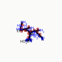 CC[C@H](NC(=O)CCNC(=O)CCN)C(=O)NCCC(=O)N[C@@H](CCC(N)=O)C(=O)NCCC(=O)N(C(=O)CCNC(=O)[C@H](CCC(N)=O)NC(=O)CCNC(=O)[C@@H](N)CCN=[N+]=[N-])[C@@H](CC)C(=O)NCCC(=O)N(N=[N+]=[N-])[C@@H](CC(=O)O)N=[N+]=[N-]